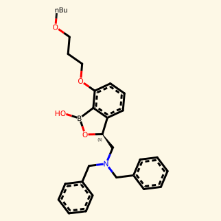 CCCCOCCCOc1cccc2c1B(O)O[C@@H]2CN(Cc1ccccc1)Cc1ccccc1